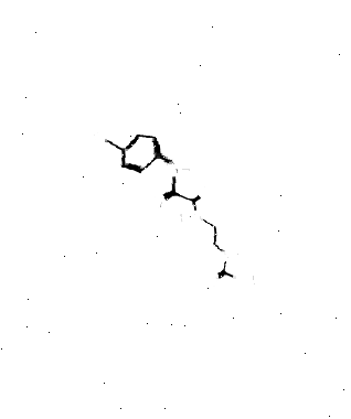 O=C(O)NCCNC(=O)C(=O)Nc1ccc(Cl)cc1